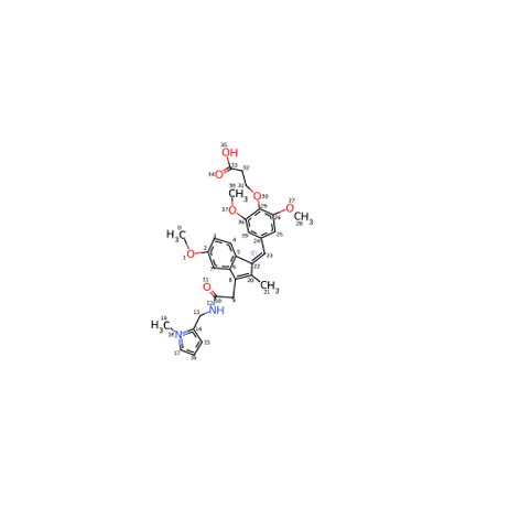 COc1ccc2c(c1)C(CC(=O)NCc1cccn1C)=C(C)/C2=C/c1cc(OC)c(OCCC(=O)O)c(OC)c1